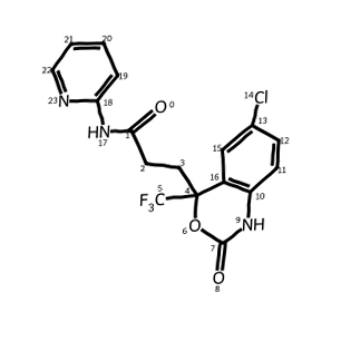 O=C(CCC1(C(F)(F)F)OC(=O)Nc2ccc(Cl)cc21)Nc1ccccn1